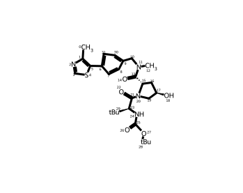 Cc1ncsc1-c1ccc(CN(C)C(=O)[C@@H]2C[C@@H](O)CN2C(=O)[C@@H](NC(=O)OC(C)(C)C)C(C)(C)C)cc1